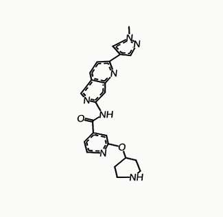 Cn1cc(-c2ccc3cnc(NC(=O)c4ccnc(OC5CCNCC5)c4)cc3n2)cn1